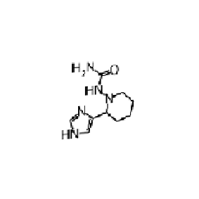 NC(=O)NN1CCCCC1c1c[nH]cn1